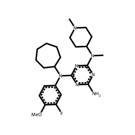 COc1ccc(N(c2nc(N)nc(N(C)C3CCN(C)CC3)n2)C2CCCCCC2)cc1F